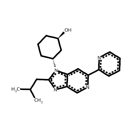 CC(C)Cc1nc2cnc(-c3ccccn3)cc2n1[C@@H]1CCC[C@@H](O)C1